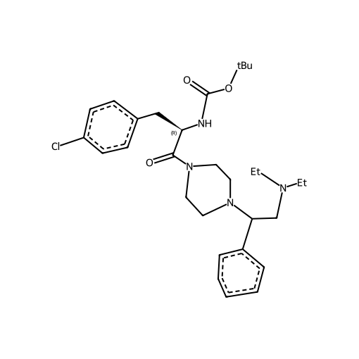 CCN(CC)CC(c1ccccc1)N1CCN(C(=O)[C@@H](Cc2ccc(Cl)cc2)NC(=O)OC(C)(C)C)CC1